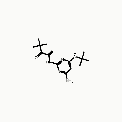 CC(C)(C)Nc1nc(N)nc(NC(=O)C(=O)C(C)(C)C)n1